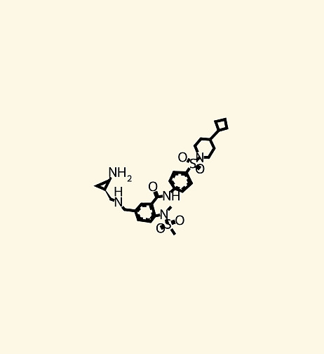 CN(c1ccc(CNC[C@H]2C[C@H]2N)cc1C(=O)Nc1ccc(S(=O)(=O)N2CCC(C3CCC3)CC2)cc1)S(C)(=O)=O